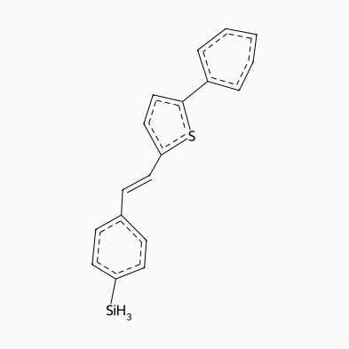 [SiH3]c1ccc(C=Cc2ccc(-c3ccccc3)s2)cc1